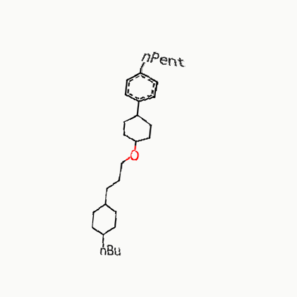 CCCCCc1ccc(C2CCC(OCCCC3CCC(CCCC)CC3)CC2)cc1